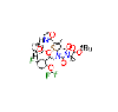 Cc1c(-c2ncco2)sc2c1c(=O)n(C1(C(=O)OC(C)(C)C)CC1)c(=O)n2C[C@H](OC1C[C@H]2CC[C@@H](C1)O2)c1cc(F)ccc1OC(F)F